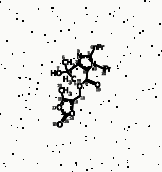 CCCc1nc(C(C)(C)O)c(C(=O)OCc2oc(=O)oc2C)n1C(C)C